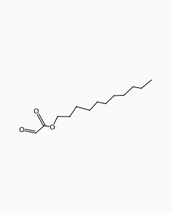 CCCCCCCCCCCOC(=O)C=O